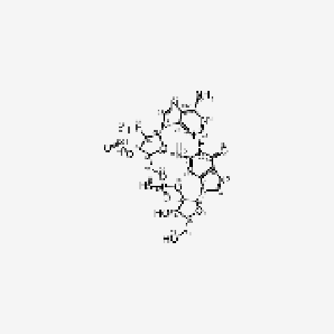 Nc1nc2c(ncn2[C@@H]2O[C@H](CO)C(O)C2OP(=O)(S)OC[C@H]2O[C@@H](n3cnc4c(N)ncnc43)C(F)[C@H]2O[PH](=O)S)c(=O)[nH]1